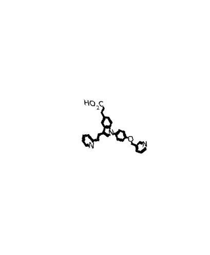 O=C(O)CCc1ccc2c(c1)c(CCc1ccccn1)cn2-c1ccc(OCc2cccnc2)cc1